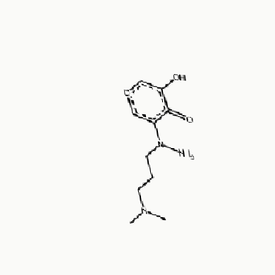 CN(C)CCCN(N)c1cocc(O)c1=O